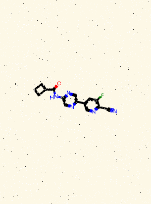 N#Cc1ncc(-c2cnc(NC(=O)C3CCC3)cn2)cc1F